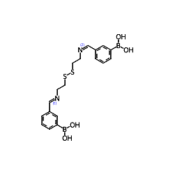 OB(O)c1cccc(/C=N\CCSSCC/N=C/c2cccc(B(O)O)c2)c1